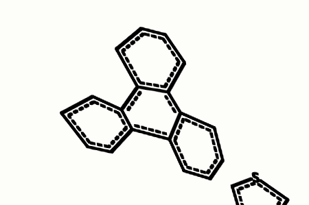 c1ccc2c(c1)c1ccccc1c1ccccc21.c1ccsc1